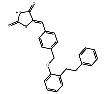 O=C1NC(=S)S/C1=C\c1ccc(COc2ccccc2CCc2ccccc2)cc1